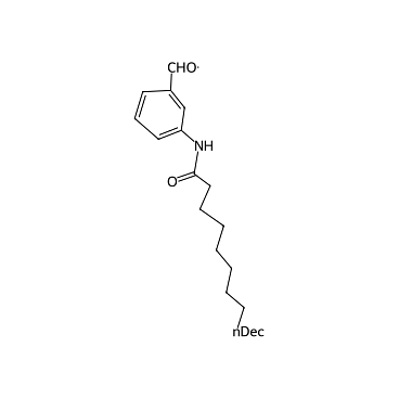 CCCCCCCCCCCCCCCCCC(=O)Nc1cccc([C]=O)c1